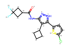 O=C(Nc1n[nH]c(-c2ccc(Cl)s2)c1C1CCC1)C1CC(F)(F)C1